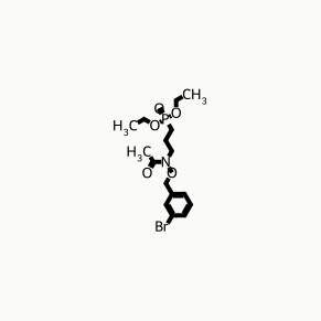 CCOP(=O)(CCCN(OCc1cccc(Br)c1)C(C)=O)OCC